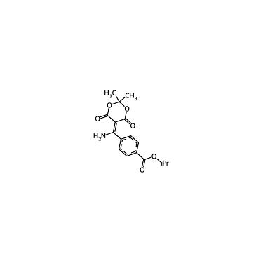 CC(C)OC(=O)c1ccc(C(N)=C2C(=O)OC(C)(C)OC2=O)cc1